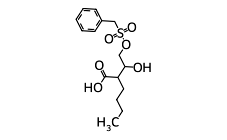 CCCCC(C(=O)O)C(O)COS(=O)(=O)Cc1ccccc1